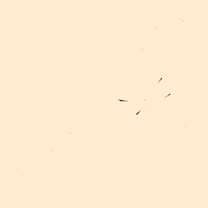 CC1(C)O[C@@H]2[C@@H](CCc3ccc4ccc(NCC(F)(F)F)nc4c3)C[C@@H](n3ccc4c(N)ncnc43)[C@@H]2O1